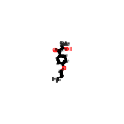 CC=COc1ccc(C(=O)C(O)SC)cc1